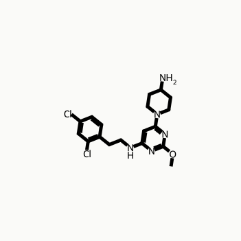 COc1nc(NCCc2ccc(Cl)cc2Cl)cc(N2CCC(N)CC2)n1